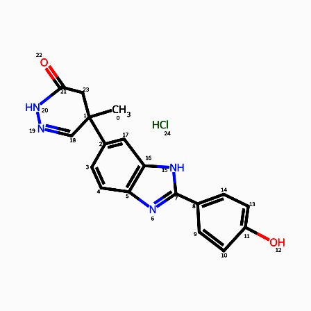 CC1(c2ccc3nc(-c4ccc(O)cc4)[nH]c3c2)C=NNC(=O)C1.Cl